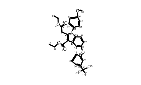 CCOC(=O)Cc1c(C(=O)OCC)c2cc(Oc3cccc(C(F)(F)F)c3)ccc2n1-c1ccc(OC)cc1